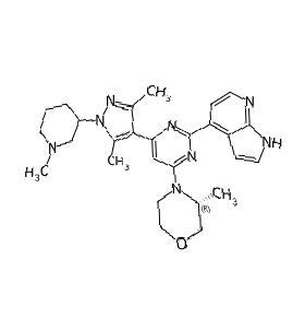 Cc1nn(C2CCCN(C)C2)c(C)c1-c1cc(N2CCOC[C@H]2C)nc(-c2ccnc3[nH]ccc23)n1